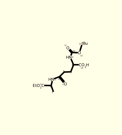 CCOC(=O)C(C)NC(=O)CCC(NC(=O)OC(C)(C)C)C(=O)O